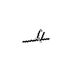 CCCCCCCCCCCC(COC(=O)C(CCCCCC)CCCCCC)OC(=O)CCCCCN(C)C